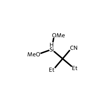 CCC(C#N)(CC)[SiH](OC)OC